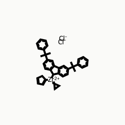 CC(C)(c1ccccc1)c1ccc2c(c1)-c1cc(C(C)(C)c3ccccc3)ccc1[CH]2[Zr+2]([C]1=CC=CC1)=[C]1CC1.[Cl-].[Cl-]